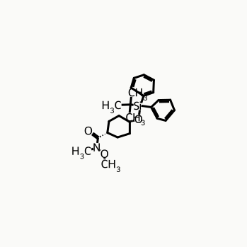 CON(C)C(=O)[C@H]1CC[C@H](O[Si](c2ccccc2)(c2ccccc2)C(C)(C)C)CC1